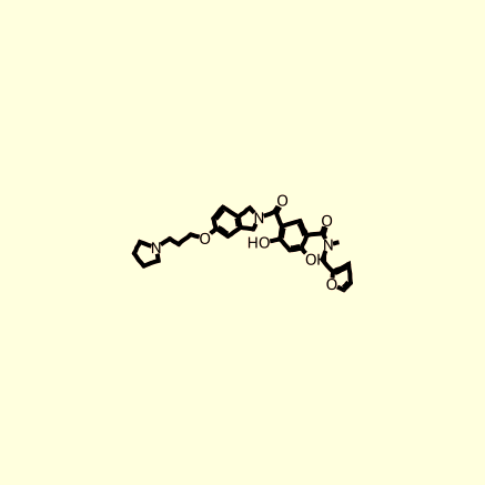 CN(Cc1ccco1)C(=O)c1cc(C(=O)N2Cc3ccc(OCCCN4CCCC4)cc3C2)c(O)cc1O